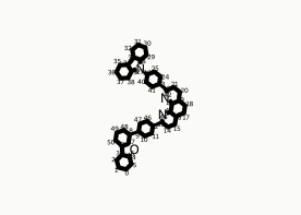 c1ccc2c(c1)oc1c(-c3ccc(-c4ccc5ccc6ccc(-c7ccc(-n8c9ccccc9c9ccccc98)cc7)nc6c5n4)cc3)cccc12